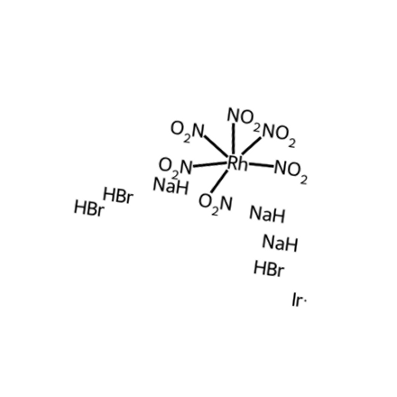 Br.Br.Br.O=[N+]([O-])[Rh]([N+](=O)[O-])([N+](=O)[O-])([N+](=O)[O-])([N+](=O)[O-])[N+](=O)[O-].[Ir].[NaH].[NaH].[NaH]